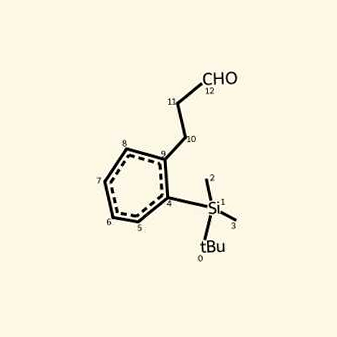 CC(C)(C)[Si](C)(C)c1ccccc1CCC=O